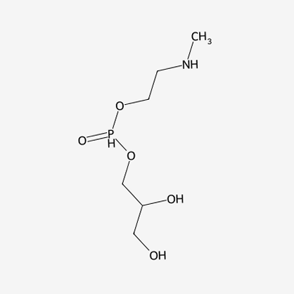 CNCCO[PH](=O)OCC(O)CO